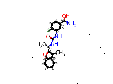 Cc1c([C@@H](C)NC(=O)Nc2cc(C(N)O)ccc2F)oc2ccccc12